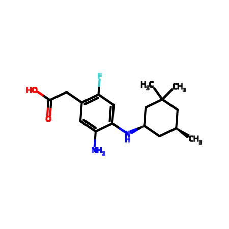 C[C@H]1C[C@@H](Nc2cc(F)c(CC(=O)O)cc2N)CC(C)(C)C1